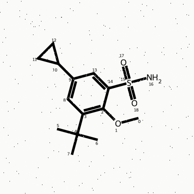 COc1c(C(C)(C)C)cc(C2CC2)cc1S(N)(=O)=O